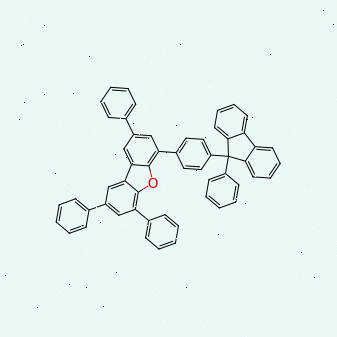 c1ccc(-c2cc(-c3ccccc3)c3oc4c(-c5ccc(C6(c7ccccc7)c7ccccc7-c7ccccc76)cc5)cc(-c5ccccc5)cc4c3c2)cc1